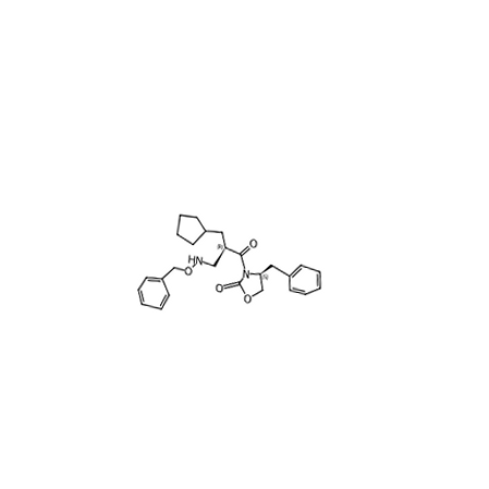 O=C1OC[C@H](Cc2ccccc2)N1C(=O)[C@@H](CNOCc1ccccc1)CC1CCCC1